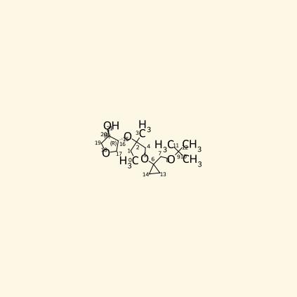 CCC(C)(COC1(COC(C)(C)C)CC1)O[C@@H]1COC[C@H]1O